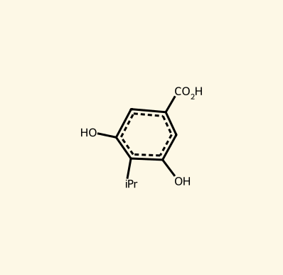 CC(C)c1c(O)cc(C(=O)O)cc1O